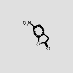 O=C1Cc2ccc([N+](=O)[O-])cc2O1